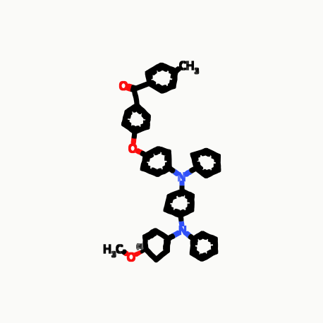 CO[C@H]1C=CC(N(c2ccccc2)c2ccc(N(c3ccccc3)c3ccc(Oc4ccc(C(=O)c5ccc(C)cc5)cc4)cc3)cc2)=CC1